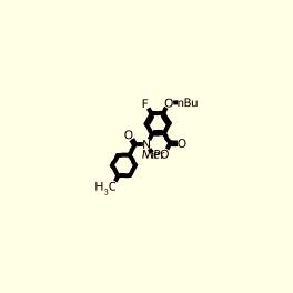 CCCCOc1cc(C(=O)OC)c(N(C(=O)C2CCC(C)CC2)C(C)C)cc1F